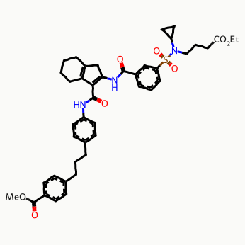 CCOC(=O)CCCN(C1CC1)S(=O)(=O)c1cccc(C(=O)NC2=C(C(=O)Nc3ccc(CCCc4ccc(C(=O)OC)cc4)cc3)C3=C(CCCC3)C2)c1